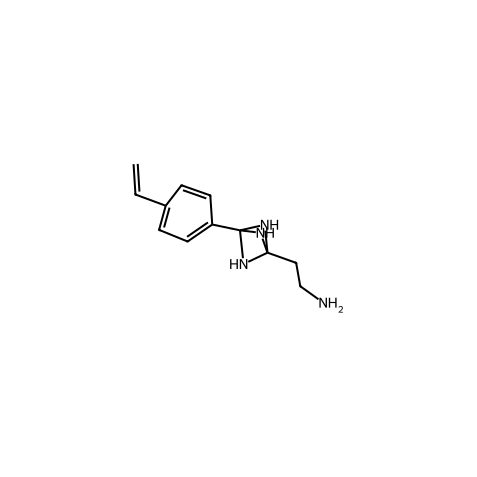 C=Cc1ccc(C23NC(CCN)(N2)N3)cc1